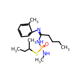 CCCCC(=Nc1ccccc1C)NP(=O)(NC)SC(C)CC